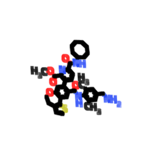 COC(=O)c1nc(C(=O)NC2CCCCCCC2)ccc1-c1cc2c(cc1C(=O)Nc1c(C)cc(CN)cc1C)-c1sccc1CCO2